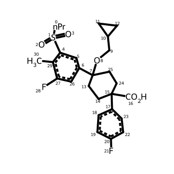 CCCS(=O)(=O)c1cc(C2(OCC3CC3)CCC(C(=O)O)(c3ccc(F)cc3)CC2)cc(F)c1C